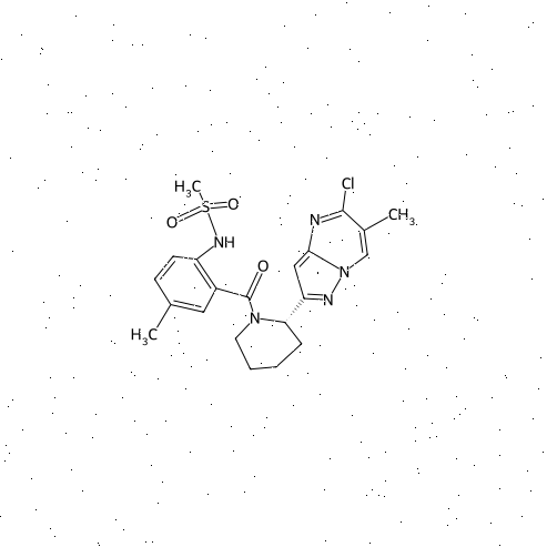 Cc1ccc(NS(C)(=O)=O)c(C(=O)N2CCCC[C@H]2c2cc3nc(Cl)c(C)cn3n2)c1